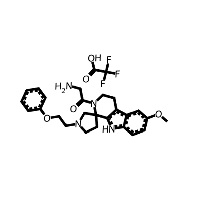 COc1ccc2[nH]c3c(c2c1)CCN(C(=O)CN)C31CCN(CCOc2ccccc2)C1.O=C(O)C(F)(F)F